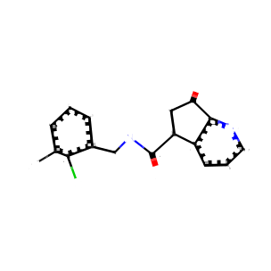 O=C1CC(C(=O)NCc2cccc(C(F)(F)F)c2Cl)c2cccnc21